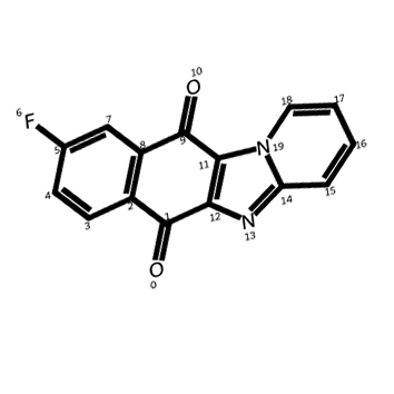 O=C1c2ccc(F)cc2C(=O)c2c1nc1ccccn21